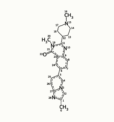 Cc1cn2cc(-c3ccc4nc(C5CCN(C)CC5)n(C)c(=O)c4c3)ccc2n1